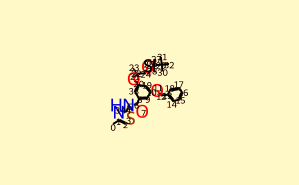 Cc1csc(NC(=O)c2cc(OCc3ccccc3)cc(O[C@@H](C)CO[Si](C)(C)C(C)(C)C)c2)n1